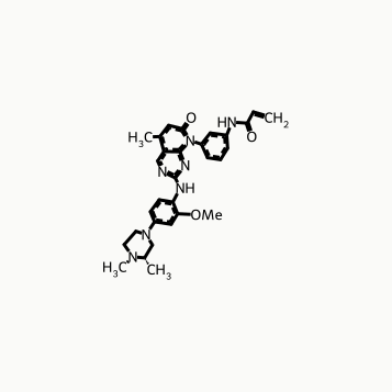 C=CC(=O)Nc1cccc(-n2c(=O)cc(C)c3cnc(Nc4ccc(N5CCN(C)[C@@H](C)C5)cc4OC)nc32)c1